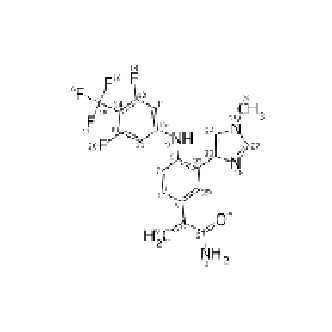 C=C(C(N)=O)c1ccc(Nc2cc(F)c(C(F)(F)F)c(F)c2)c(-c2cn(C)cn2)c1